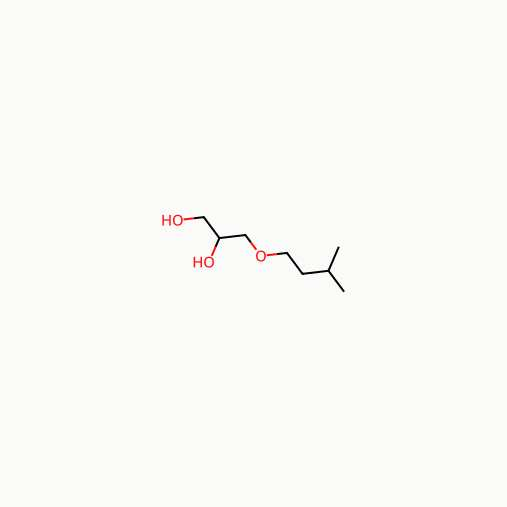 CC(C)CCOCC(O)CO